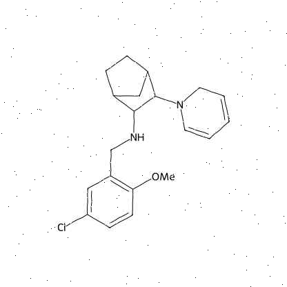 COc1ccc(Cl)cc1CNC1C2CCC(C2)C1N1C=CC=CC1